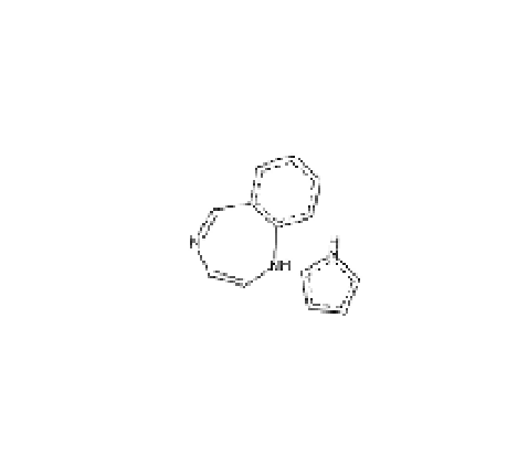 C1=CNc2ccccc2C=N1.c1cc[nH]c1